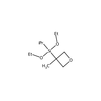 CCO[Si](OCC)(C(C)C)C1(C)COC1